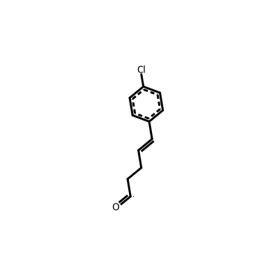 O=[C]CCC=Cc1ccc(Cl)cc1